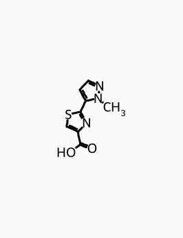 Cn1nccc1-c1nc(C(=O)O)cs1